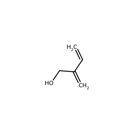 C=CC(=C)CO